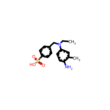 CCN(Cc1ccc(S(=O)(=O)O)cc1)c1ccc(N)c(C)c1